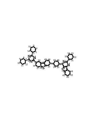 c1ccc(-c2nc(-c3ccccc3)nc(-c3ccc4sc5cc(-c6ccc(-c7nc(-c8ccccc8)nc8c7sc7ccccc78)cc6)ccc5c4c3)n2)cc1